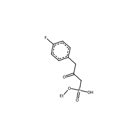 CCOP(=O)(O)CC(=O)Cc1ccc(F)cc1